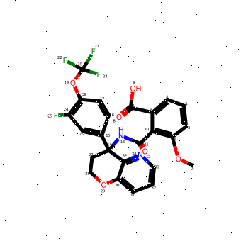 COc1cccc(C(=O)O)c1C(=O)NC1(c2ccc(OC(F)(F)F)c(F)c2)CCOc2cccnc21